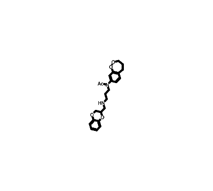 CC(=O)N(CCCNCC1COc2ccccc2O1)c1ccc2c(c1)OOCCC2